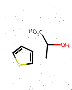 CC(O)C(=O)O.c1ccsc1